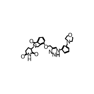 N=N/C(=C\Nc1cccc(N2CCOCC2)c1)COc1cccc2c1CN(C1CCC(=O)NC1=O)C2=O